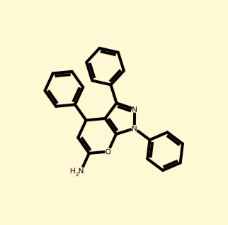 NC1=CC(c2ccccc2)c2c(-c3ccccc3)nn(-c3ccccc3)c2O1